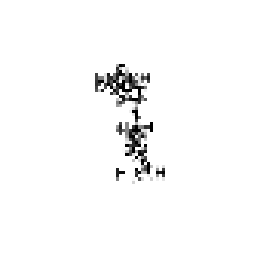 CN(C)CCS(=O)(=O)N1C[C@@H]2C(C#Cc3ccc(O)c(N4CC(=O)NS4(=O)=O)c3F)[C@@H]2C1